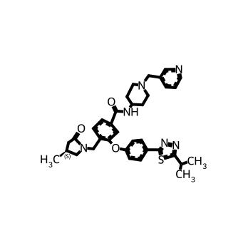 CC(C)c1nnc(-c2ccc(Oc3cc(C(=O)NC4CCN(Cc5cccnc5)CC4)ccc3CN3C[C@@H](C)CC3=O)cc2)s1